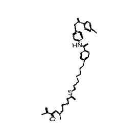 C=C(CCCCC(C)CC(=O)C(=C)C)SCCCCCCCc1ccc(C(=C)Nc2ccc(CC(=C)c3ccc(C)cc3)cc2)cc1